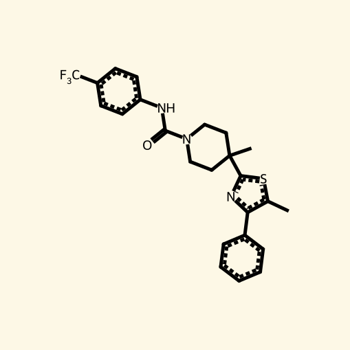 Cc1sc(C2(C)CCN(C(=O)Nc3ccc(C(F)(F)F)cc3)CC2)nc1-c1ccccc1